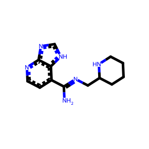 NC(=NCC1CCCCN1)c1ccnc2nc[nH]c12